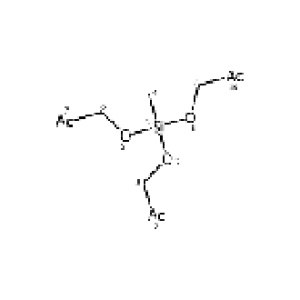 CC(=O)CO[Si](C)(OCC(C)=O)OCC(C)=O